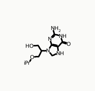 CC(C)OCC(CO)N1CNc2c1nc(N)[nH]c2=O